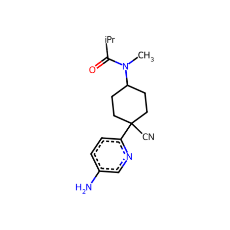 CC(C)C(=O)N(C)C1CCC(C#N)(c2ccc(N)cn2)CC1